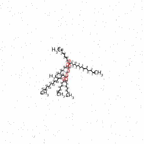 CCCCCCCCCCCCCC(OCCCCCCC)(OCCCCCCC)OCOCOC(CCCCCCCCCCCCC)(OCCCCCCC)OCCCCCCC